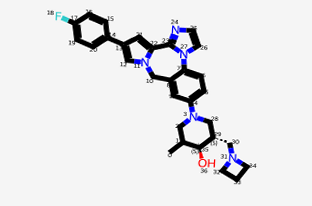 CC1CN(c2ccc3c(c2)Cn2cc(-c4ccc(F)cc4)cc2-c2nccn2-3)C[C@H](CN2CCC2)[C@H]1O